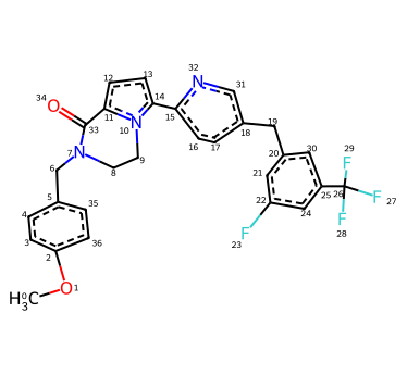 COc1ccc(CN2CCn3c(ccc3-c3ccc(Cc4cc(F)cc(C(F)(F)F)c4)cn3)C2=O)cc1